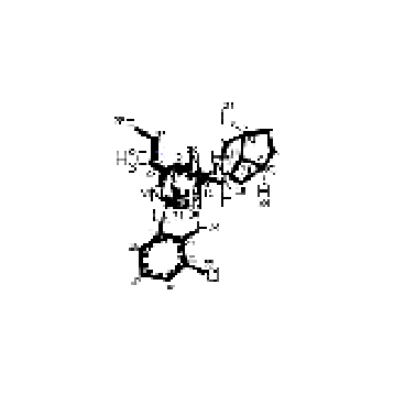 Cc1cc(N2C[C@H]3CC[C@@H](C2)[C@H]3Nc2nc(Oc3cccc(Cl)c3F)n(/C=C/F)n2)ncn1